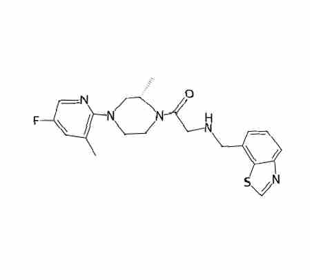 Cc1cc(F)cnc1N1CCN(C(=O)CNCc2cccc3ncsc23)[C@@H](C)C1